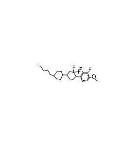 CCCCCC1CCC(C2CCC(c3ccc(OCC)c(F)c3F)C(F)(F)C2)CC1